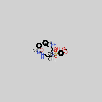 CC(C)(CCN/C(=N/C#N)Oc1ccccc1)CN(C[C@@H](O)[C@H](Cc1ccccc1)NC(=O)O)S(=O)(=O)c1ccc2c(c1)OCO2